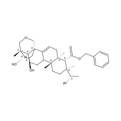 CC(C)[C@@H](C)[C@@]1(C)CC[C@]2(C)C3CC[C@@H]4[C@@]5(COC[C@@]4(C)[C@@H](O)[C@H](O)C5)C3=CC[C@@]2(C)[C@@H]1C(=O)OCc1ccccc1